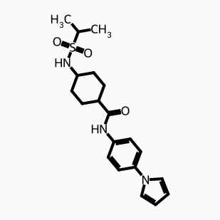 CC(C)S(=O)(=O)NC1CCC(C(=O)Nc2ccc(-n3cccc3)cc2)CC1